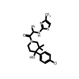 CC(C)C(Nc1nc(C(F)(F)F)cs1)C(=O)N1CCC(O)(c2ccc(Cl)cc2)C(C)(C)C1